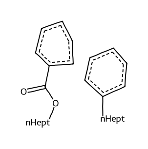 CCCCCCCOC(=O)c1ccccc1.CCCCCCCc1ccccc1